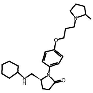 CC1CCCN1CCCOc1ccc(N2C(=O)CC[C@H]2CNC2CCCCC2)cc1